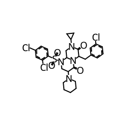 O=C1C(Cc2cccc(Cl)c2)N2C(=O)C(N3CCCCC3)CN(S(=O)(=O)c3ccc(Cl)cc3Cl)C2CN1C1CC1